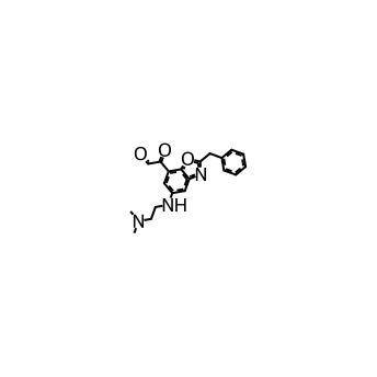 CN(C)CCNc1cc(C(=O)C=O)c2oc(Cc3ccccc3)nc2c1